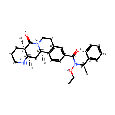 CCON(C(=O)c1ccc2c(c1)CCN1C(=O)[C@@H]3CCCN[C@@H]3C[C@H]21)[C@H](C)c1ccccc1